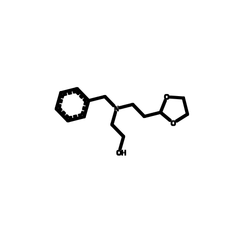 OCCN(CCC1OCCO1)Cc1ccccc1